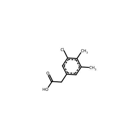 Cc1cc(CC(=O)O)cc(Cl)c1C